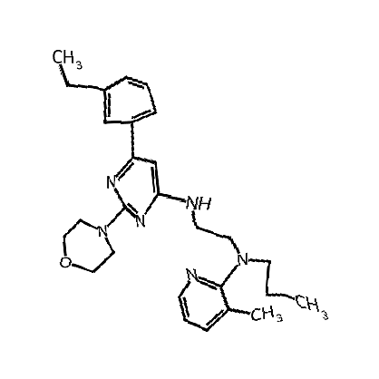 CCCN(CCNc1cc(-c2cccc(CC)c2)nc(N2CCOCC2)n1)c1ncccc1C